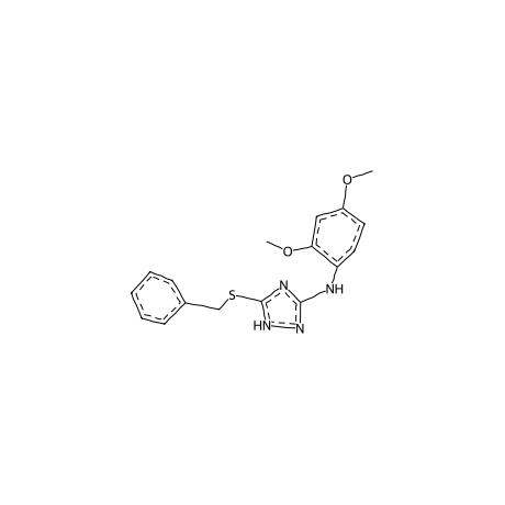 COc1ccc(Nc2n[nH]c(SCc3ccccc3)n2)c(OC)c1